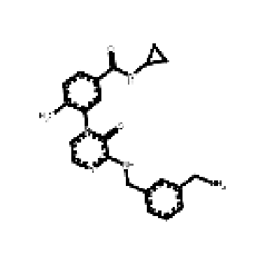 Cc1ccc(C(=O)NC2CC2)cc1-n1ccnc(NCc2cccc(CN)c2)c1=O